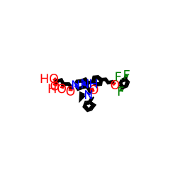 O=C(O)CC(O)CC(=O)N1CC2CC(c3ccc(CCCOc4c(F)ccc(F)c4F)cc3)=C(C(=O)N(Cc3ccccc3)C3CC3)C(C1)N2